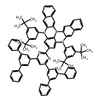 CC(C)(C)c1cc(N2c3cc4ccccc4cc3B3c4cc5ccccc5cc4N(c4cc(C(C)(C)C)cc(C(C)(C)C)c4)c4cc(-c5nc(-c6cc(-c7ccccc7)cc(-c7ccccc7)c6)cc(-c6cc(-c7ccccc7)cc(-c7ccccc7)c6)n5)cc2c43)cc(C(C)(C)C)c1